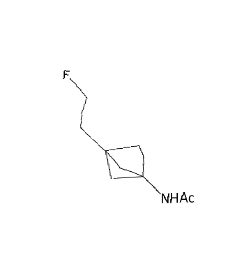 CC(=O)NC12CC(CCF)(C1)C2